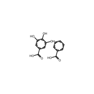 O=C(O)c1cc(O)c(O)c(O)c1.O=C(O)c1ccccc1